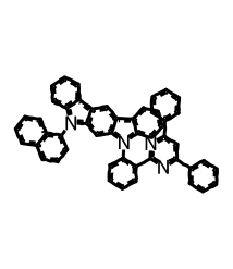 c1ccc(-c2cc(-c3ccccc3)nc(-c3ccccc3-n3c4ccccc4c4cc5c6ccccc6n(-c6cccc7ccccc67)c5cc43)n2)cc1